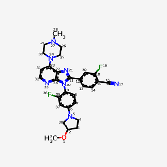 COC1CCN(c2ccc(-n3c(-c4ccc(C#N)c(F)c4)nc4c(N5CCN(C)CC5)ccnc43)c(F)c2)C1